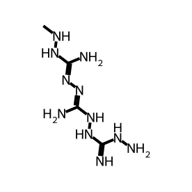 CNN/C(N)=N/N=C(\N)NNC(=N)NN